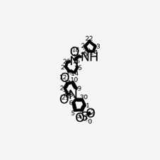 CS(=O)(=O)c1ccc(-n2ccc(OC3CCN(C(=O)NC4CCCC4)CC3)cc2=O)cc1